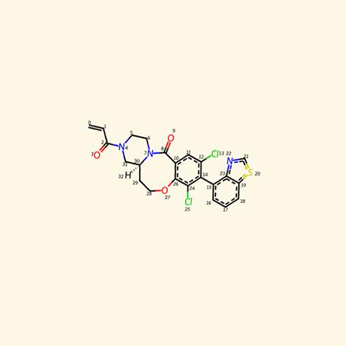 C=CC(=O)N1CCN2C(=O)c3cc(Cl)c(-c4cccc5scnc45)c(Cl)c3OCC[C@H]2C1